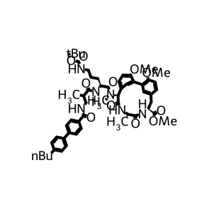 CCCCc1ccc(-c2ccc(C(=O)NCC(C)C(=O)N[C@@H](CCCNC(=O)OC(C)(C)C)C(=O)N(C)[C@@H]3C(=O)N[C@@H](C)C(=O)N[C@H](C(=O)OC)Cc4ccc(OC)c(c4)-c4cc3ccc4OC)cc2)cc1